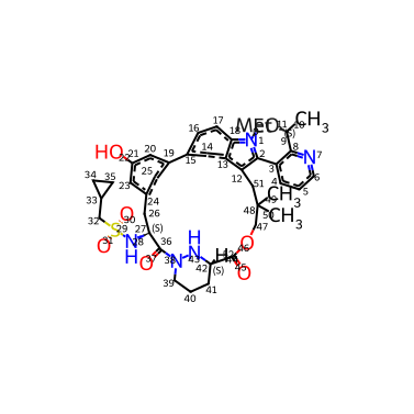 CCn1c(-c2cccnc2[C@H](C)OC)c2c3cc(ccc31)-c1cc(O)cc(c1)C[C@H](NS(=O)(=O)CC1CC1)C(=O)N1CCC[C@H](N1)C(=O)OCC(C)(C)C2